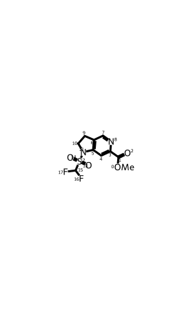 COC(=O)c1cc2c(cn1)CCN2S(=O)(=O)C(F)F